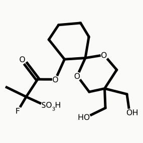 CC(F)(C(=O)OC1CCCCC12OCC(CO)(CO)CO2)S(=O)(=O)O